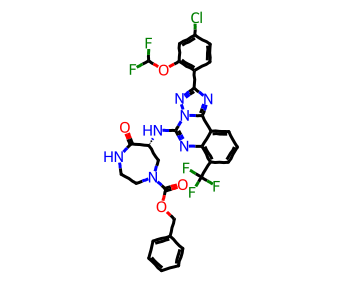 O=C1NCCN(C(=O)OCc2ccccc2)C[C@H]1Nc1nc2c(C(F)(F)F)cccc2c2nc(-c3ccc(Cl)cc3OC(F)F)nn12